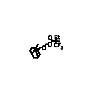 CCC(C)(C(=O)OCOCC12CC3CC(CC(C3)C1C)C2)C(F)(F)F